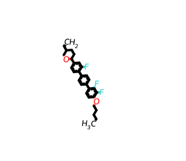 C=CC1CCC(c2ccc(-c3ccc(-c4ccc(OCCCCC)c(F)c4F)cc3)c(F)c2)OC1